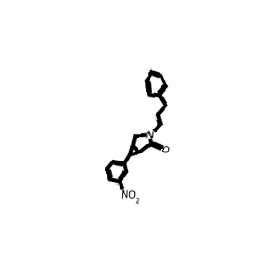 O=C1C2C(CN1CCCc1ccccc1)C2c1cccc([N+](=O)[O-])c1